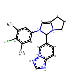 Cc1cc(N2C=C3CCCN3C2c2ccc3ncnn3c2)cc(C)c1F